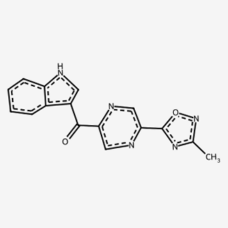 Cc1noc(-c2cnc(C(=O)c3c[nH]c4ccccc34)cn2)n1